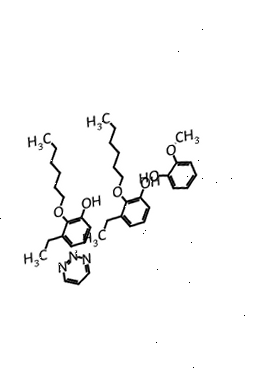 CCCCCCOc1c(O)cccc1CC.CCCCCCOc1c(O)cccc1CC.COc1ccccc1O.c1cnnnc1